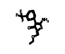 CCOC=C1SC(N)=C(c2cccc(C(F)(F)F)c2)C1=O